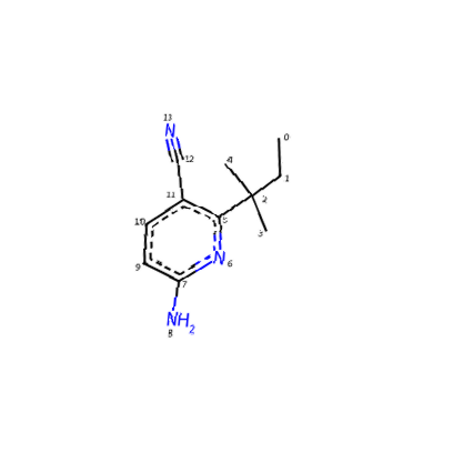 CCC(C)(C)c1nc(N)ccc1C#N